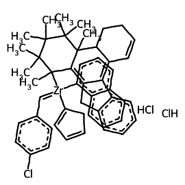 CC12C(=C3Cc4ccccc4C3=C3C=CCCC31)[C](C)([Zr](=[CH]c1ccc(Cl)cc1)([C]1=CC=CC1)[c]1cccc3ccccc13)C(C)(C)C(C)(C)C2(C)C.Cl.Cl